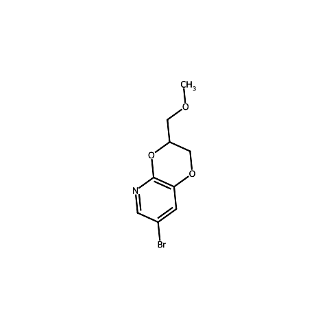 COCC1COc2cc(Br)cnc2O1